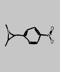 CC1C(c2ccc([N+](=O)[O-])cc2)N1C